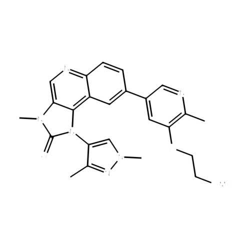 COCCOc1cc(-c2ccc3ncc4c(c3c2)n(-c2cn(C)nc2C)c(=O)n4C)cnc1C